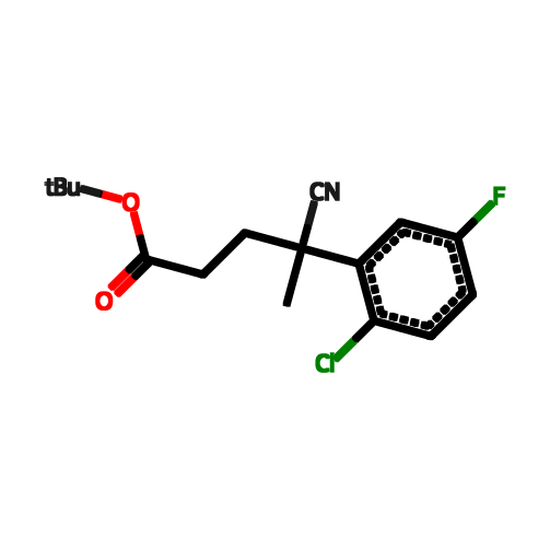 CC(C)(C)OC(=O)CCC(C)(C#N)c1cc(F)ccc1Cl